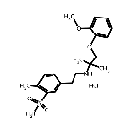 COc1ccccc1OCC(C)(C)NCCc1ccc(C)c(S(N)(=O)=O)c1.Cl